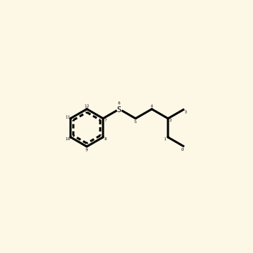 CCC(C)CCSc1ccccc1